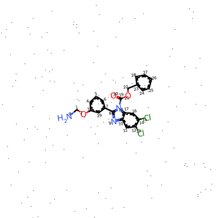 NCOc1cccc(-c2nc3cc(Cl)c(Cl)cc3n2C(=O)OCc2ccccc2)c1